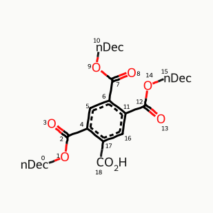 CCCCCCCCCCOC(=O)c1cc(C(=O)OCCCCCCCCCC)c(C(=O)OCCCCCCCCCC)cc1C(=O)O